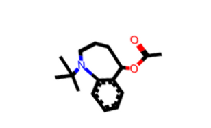 CC(=O)OC1CCCN(C(C)(C)C)c2ccccc21